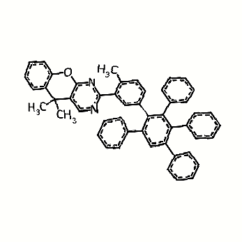 Cc1ccc(-c2c(-c3ccccc3)cc(-c3ccccc3)c(-c3ccccc3)c2-c2ccccc2)cc1-c1ncc2c(n1)Oc1ccccc1C2(C)C